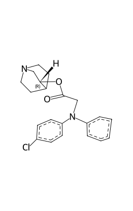 O=C(CN(c1ccccc1)c1ccc(Cl)cc1)O[C@H]1CN2CCC1CC2